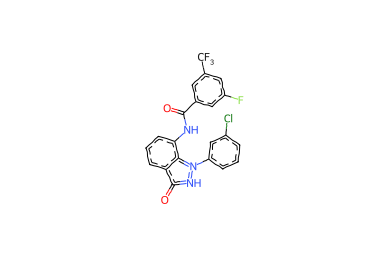 O=C(Nc1cccc2c(=O)[nH]n(-c3cccc(Cl)c3)c12)c1cc(F)cc(C(F)(F)F)c1